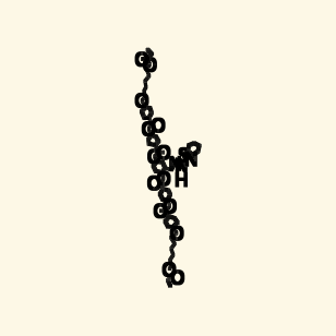 C=CC(=O)OCCCCCCOc1ccc(C(=O)Oc2ccc(C(=O)Oc3ccc(OC(=O)c4ccc(OC(=O)c5ccc(OCCCCCCOC(=O)C=C)cc5)cc4)c(/C=N/Nc4nc5ccccc5s4)c3)cc2)cc1